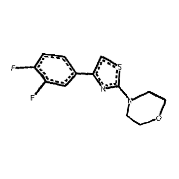 Fc1ccc(-c2csc(N3CCOCC3)n2)cc1F